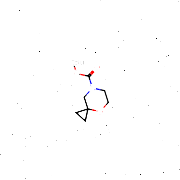 CC(C)(C)OC(=O)N1CCOC2(CC2)C1